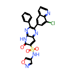 O=c1[nH]c2nc(-c3ccccc3)c(-c3cc(Cl)c4ncccc4c3)nc2cc1S(=O)(=O)Nc1cnoc1